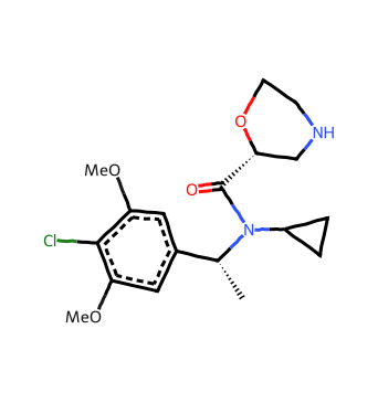 COc1cc([C@@H](C)N(C(=O)[C@H]2CNCCO2)C2CC2)cc(OC)c1Cl